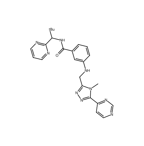 Cn1c(CNc2cccc(C(=O)NC(c3ncccn3)C(C)(C)C)c2)nnc1-c1ccncn1